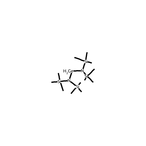 C[Si](C)(C)[N]([GeH2][N]([Si](C)(C)C)[Si](C)(C)C)[Si](C)(C)C